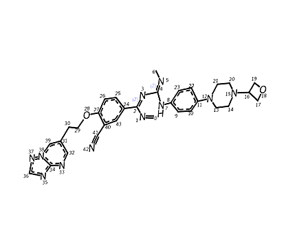 C=N/C(=N\C(=N/C)Nc1ccc(N2CCN(C3COC3)CC2)cc1)c1ccc(OCCc2cnc3ncnn3c2)c(C#N)c1